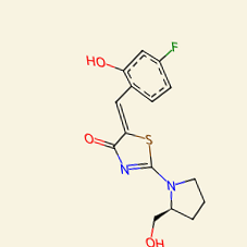 O=C1N=C(N2CCC[C@H]2CO)S/C1=C\c1ccc(F)cc1O